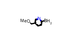 Bc1ccc(COC)cn1